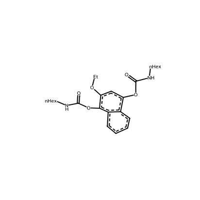 CCCCCCNC(=O)Oc1cc(OCC)c(OC(=O)NCCCCCC)c2ccccc12